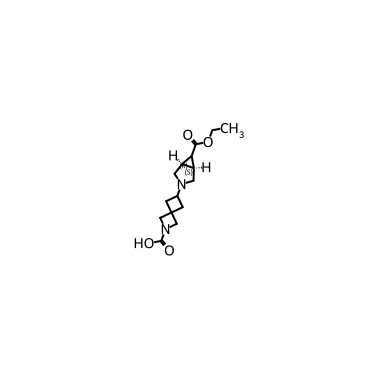 CCOC(=O)C1[C@H]2CN(C3CC4(C3)CN(C(=O)O)C4)C[C@@H]12